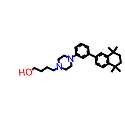 CC1(C)CCC(C)(C)c2cc(-c3cccc(N4CCN(CCCCO)CC4)c3)ccc21